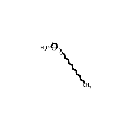 CCCCCCCCCCCCOC[C@H]1CC[C@@H](C)O1